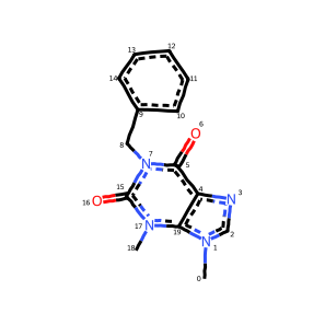 Cn1cnc2c(=O)n(Cc3ccccc3)c(=O)n(C)c21